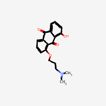 CN(C)CCCOc1cccc2c1C(=O)c1c(O)cccc1C2=O